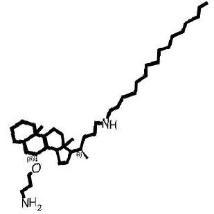 CCCCCCCCCCCCCCCCNCCC[C@@H](C)C1CCC2C3C(CCC21C)C1(C)CCCCC1C[C@H]3OCCCN